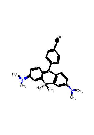 C#Cc1ccc(C2=C3C=CC(=[N+](C)C)C=C3[Si](C)(C)c3cc(N(C)C)ccc32)cc1